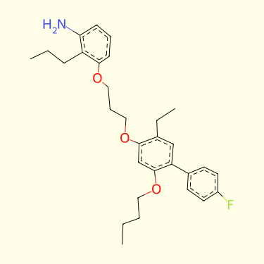 CCCCOc1cc(OCCCOc2cccc(N)c2CCC)c(CC)cc1-c1ccc(F)cc1